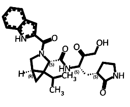 CC(C)C12C[C@H]1CN(C(=O)c1cc3ccccc3[nH]1)[C@@H]2C(=O)N[C@@H](C[C@@H]1CCNC1=O)C(=O)CO